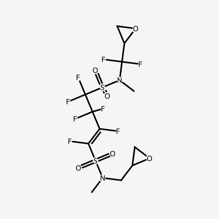 CN(CC1CO1)S(=O)(=O)C(F)=C(F)C(F)(F)C(F)(F)S(=O)(=O)N(C)C(F)(F)C1CO1